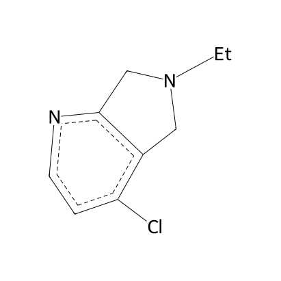 [CH2]CN1Cc2nccc(Cl)c2C1